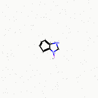 IN1CNc2ccccc21